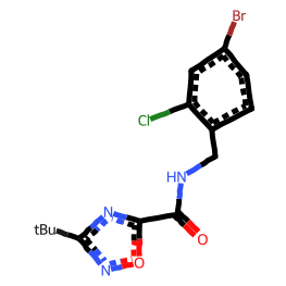 CC(C)(C)c1noc(C(=O)NCc2ccc(Br)cc2Cl)n1